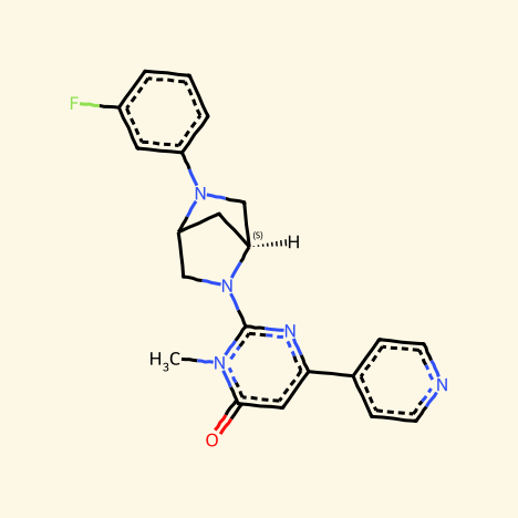 Cn1c(N2CC3C[C@H]2CN3c2cccc(F)c2)nc(-c2ccncc2)cc1=O